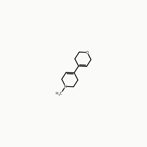 CN1CC=C(C2=CCOCC2)CC1